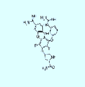 N=C(N)Nc1cccc(Oc2nc(Oc3cc(C(=N)N)ccc3O)c(F)c(OC3CNC(C(N)=O)C3)c2F)c1